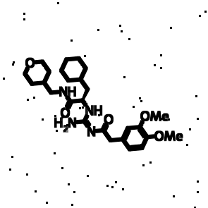 COc1ccc(CC(=O)N=C(N)N[C@H](CC2CCCCC2)C(=O)NCC2CCOCC2)cc1OC